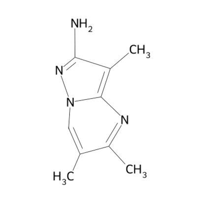 Cc1cn2nc(N)c(C)c2nc1C